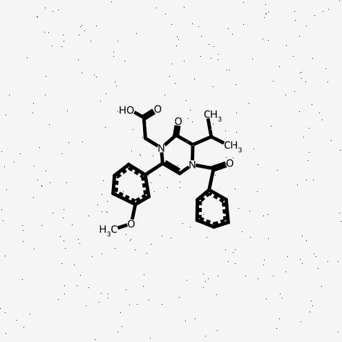 COc1cccc(C2=CN(C(=O)c3ccccc3)C(C(C)C)C(=O)N2CC(=O)O)c1